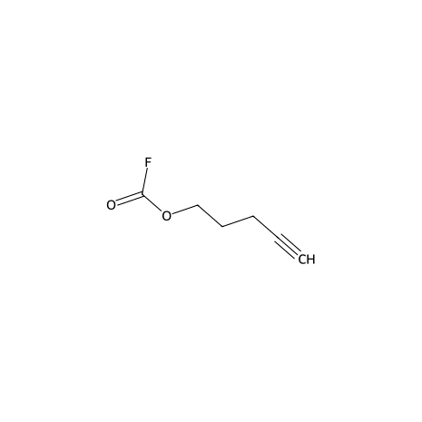 C#CCCCOC(=O)F